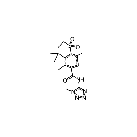 Cc1cc(C(=O)Nc2nnnn2C)c(C)c2c1S(=O)(=O)CCC2(C)C